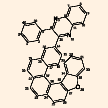 c1ccc(-c2nc3ccccc3nc2-c2ccc3c(ccc4ccc5ccc6oc7ccccc7c6c5c43)c2)cc1